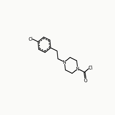 O=C(Cl)N1CCN(CCc2ccc(Cl)cc2)CC1